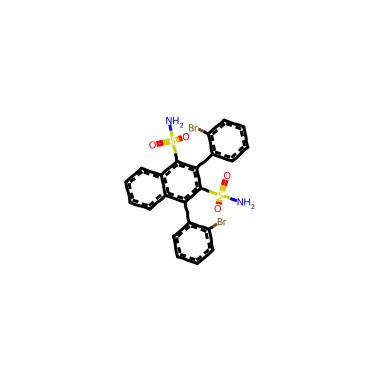 NS(=O)(=O)c1c(-c2ccccc2Br)c(S(N)(=O)=O)c2ccccc2c1-c1ccccc1Br